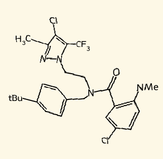 CNc1ccc(Cl)cc1C(=O)N(CCn1nc(C)c(Cl)c1C(F)(F)F)Cc1ccc(C(C)(C)C)cc1